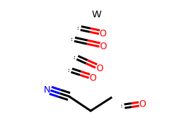 CCC#N.[C]=O.[C]=O.[C]=O.[C]=O.[C]=O.[W]